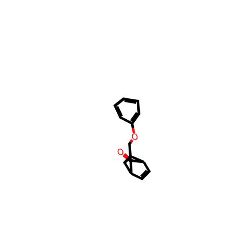 O=C1C2C=CC1C(COc1ccccc1)C2